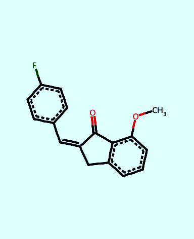 COc1cccc2c1C(=O)C(=Cc1ccc(F)cc1)C2